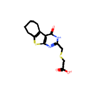 O=C(O)CSCc1nc2sc3c(c2c(=O)[nH]1)CCCC3